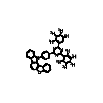 [2H]c1cc(-c2nc(-c3ccc(-n4c5ccccc5c5ccc6oc7ccccc7c6c54)cc3)nc(-c3c([2H])c([2H])c([2H])c([2H])c3[2H])n2)c([2H])c([2H])c1[2H]